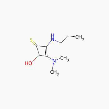 CCCNC1=C(N(C)C)C(O)C1=S